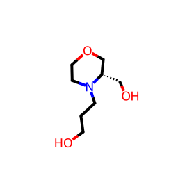 OCCCN1CCOC[C@@H]1CO